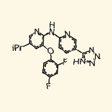 CC(C)c1cnc(Nc2ccc(-c3nnn[nH]3)cn2)c(Oc2ccc(F)cc2F)c1